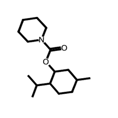 CC1CCC(C(C)C)C(OC(=O)N2CCCCC2)C1